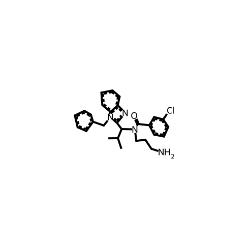 CC(C)C(c1nc2ccccc2n1Cc1ccccc1)N(CCCN)C(=O)c1cccc(Cl)c1